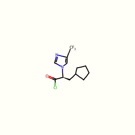 O=C(Cl)[C@H](CC1CCCC1)n1cnc(C(F)(F)F)c1